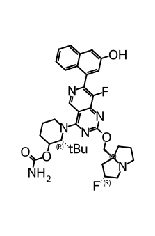 CC(C)(C)[C@@H]1C(OC(N)=O)CCCN1c1nc(OC[C@@]23CCCN2C[C@H](F)C3)nc2c(F)c(-c3cc(O)cc4ccccc34)ncc12